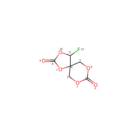 O=C1OCC2(CO1)OC(=O)OC2F